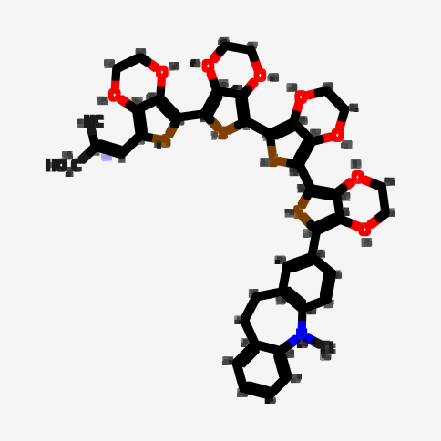 [C-]#[N+]/C(=C\c1sc(-c2sc(-c3sc(-c4sc(-c5ccc6c(c5)CCc5ccccc5N6CC)c5c4OCCO5)c4c3OCCO4)c3c2OCCO3)c2c1OCCO2)C(=O)O